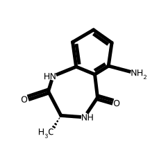 C[C@H]1NC(=O)c2c(N)cccc2NC1=O